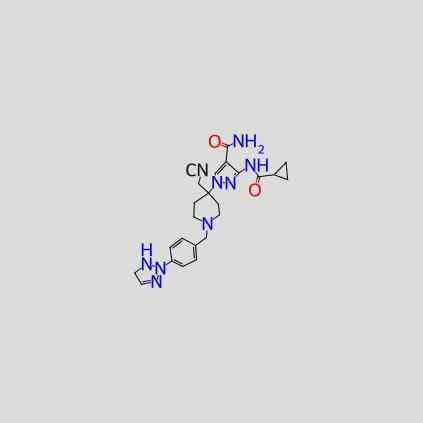 N#CCC1(n2cc(C(N)=O)c(NC(=O)C3CC3)n2)CCN(Cc2ccc(N3N=CCN3)cc2)CC1